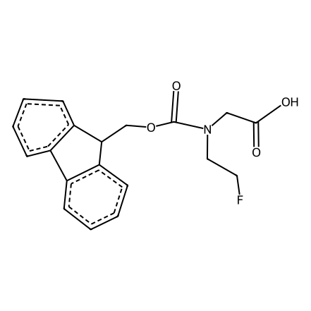 O=C(O)CN(CCF)C(=O)OCC1c2ccccc2-c2ccccc21